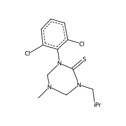 CC(C)CN1CN(C)CN(c2c(Cl)cccc2Cl)C1=S